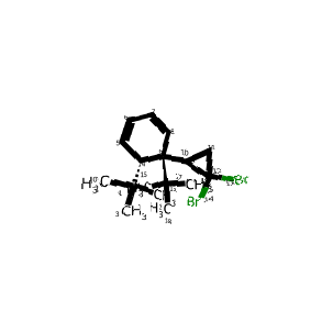 CC(C)(C)[C@@H]1C=CC=C[C@@]1(C1CC1(Br)Br)C(C)(C)C